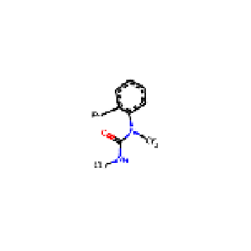 CC(C)c1ccccc1N(C(=O)NC(C)(C)C)C(F)(F)F